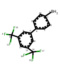 Bc1ccc(-c2cc(C(F)(F)F)cc(C(F)(F)F)c2)cc1